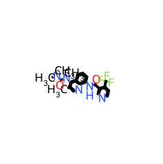 Cc1cnc2c(NC(=O)c3cnccc3C(F)(F)F)cccc2c1N(C)C(=O)N(C)C